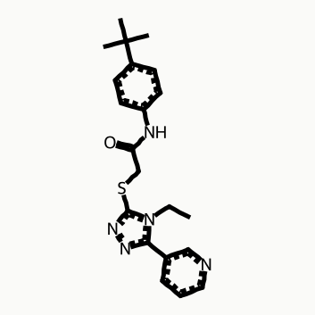 CCn1c(SCC(=O)Nc2ccc(C(C)(C)C)cc2)nnc1-c1cccnc1